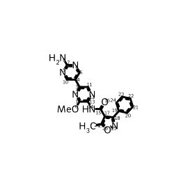 COc1nc(-c2cnc(N)nc2)cnc1NC(=O)c1c(-c2ccccc2)noc1C